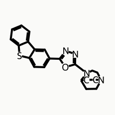 c1ccc2c(c1)sc1ccc(-c3nnc(N4CCN5CCC4CC5)o3)cc12